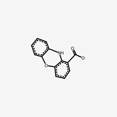 [O]C(=O)c1cccc2c1Nc1ccccc1O2